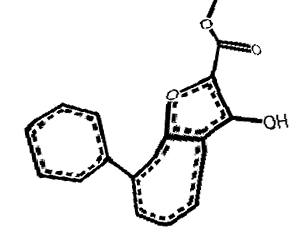 COC(=O)c1oc2c(-c3ccccc3)cccc2c1O